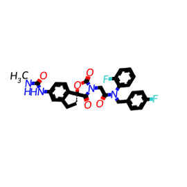 CNC(=O)Nc1ccc2c(c1)CC[C@@]21OC(=O)N(CC(=O)N(Cc2ccc(F)cc2)c2ccccc2F)C1=O